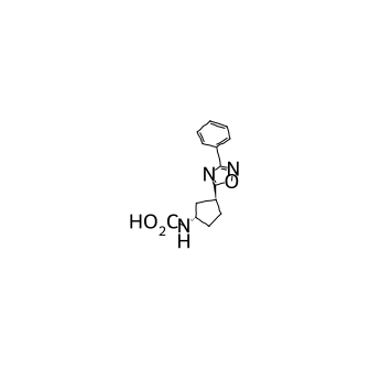 O=C(O)N[C@H]1CC[C@H](c2nc(-c3ccccc3)no2)C1